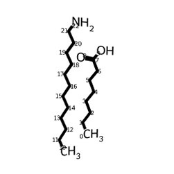 CCCCCCCC(=O)O.CCCCCCCCCCCCN